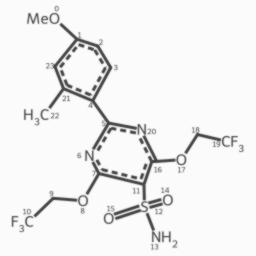 COc1ccc(-c2nc(OCC(F)(F)F)c(S(N)(=O)=O)c(OCC(F)(F)F)n2)c(C)c1